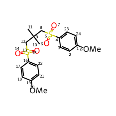 COc1ccc(S(=O)(=O)CC(C)(C)CS(=O)(=O)c2ccc(OC)cc2)cc1